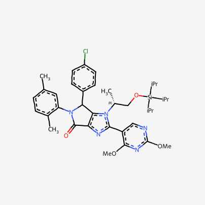 COc1ncc(-c2nc3c(n2[C@H](C)CO[Si](C(C)C)(C(C)C)C(C)C)C(c2ccc(Cl)cc2)N(c2cc(C)ccc2C)C3=O)c(OC)n1